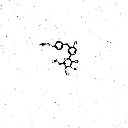 N#CCOc1ccc(Cc2cc(C3OC(CN=O)C(N=O)C(N=O)C3O)ccc2Cl)cc1